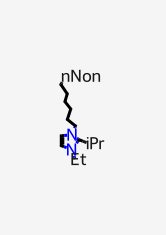 CCCCCCCCCCCCCCCN1C=CN(CC)C1C(C)C